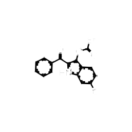 CCC(=O)Oc1c(C(=O)c2ccccc2)[nH]c2cc(Cl)ccc12